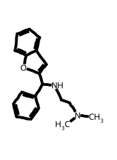 CN(C)CCNC(c1ccccc1)c1cc2ccccc2o1